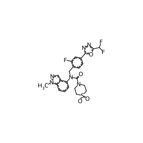 Cn1ncc2c(N(Cc3ccc(-c4nnc(C(F)F)o4)cc3F)C(=O)N3CCS(=O)(=O)CC3)cccc21